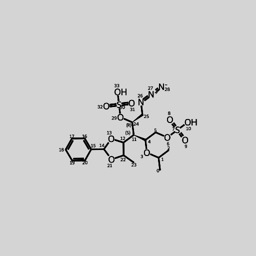 CC(C)OC(COS(=O)(=O)O)[C@@H](C1OC(c2ccccc2)OC1C)[C@H](CN=[N+]=[N-])OS(=O)(=O)O